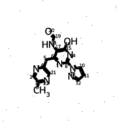 Cc1cnc(Cc2nc(-n3cccn3)nc(O)c2NC=O)cn1